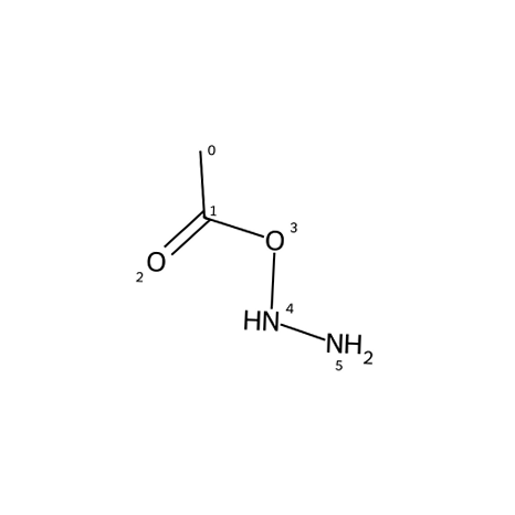 CC(=O)ONN